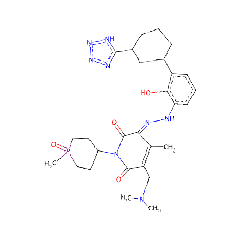 CC1=C(CN(C)C)C(=O)N(C2CCP(C)(=O)CC2)C(=O)/C1=N/Nc1cccc(C2CCCC(c3nnn[nH]3)C2)c1O